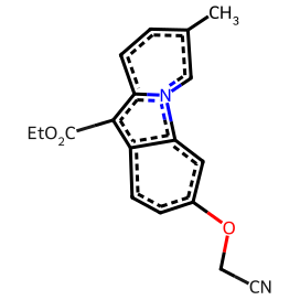 CCOC(=O)c1c2ccc(OCC#N)cc2n2cc(C)ccc12